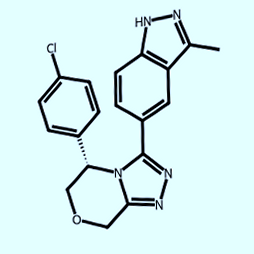 Cc1n[nH]c2ccc(-c3nnc4n3[C@@H](c3ccc(Cl)cc3)COC4)cc12